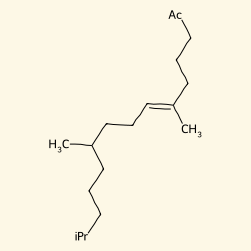 CC(=O)CCCC(C)=CCCC(C)CCCC(C)C